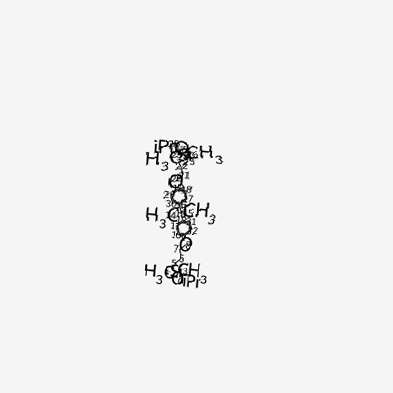 CC(C)O[Si](C)(C)CCCOc1ccc(C(C)(C)c2ccc(OCCC[Si](C)(C)OC(C)C)cc2)cc1